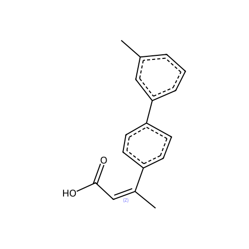 C/C(=C/C(=O)O)c1ccc(-c2cccc(C)c2)cc1